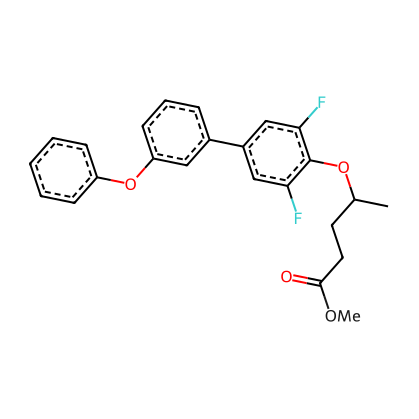 COC(=O)CCC(C)Oc1c(F)cc(-c2cccc(Oc3ccccc3)c2)cc1F